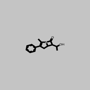 CC1=C(c2ccccc2)CC2C(C(C)O)C(=O)N12